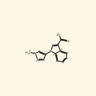 CCC(=O)c1cn(-c2cnn(C)c2)c2ccccc12